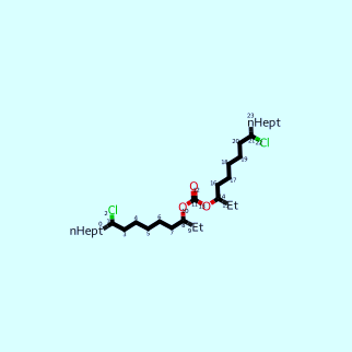 CCCCCCCC(Cl)CCCCCC(CC)OC(=O)OC(CC)CCCCCC(Cl)CCCCCCC